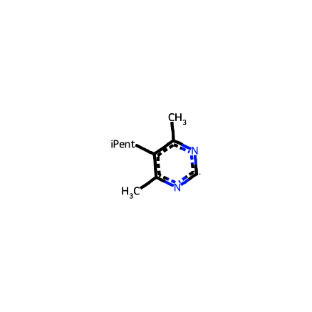 CCCC(C)c1c(C)n[c]nc1C